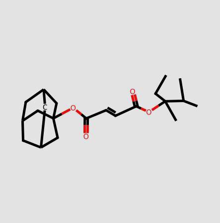 CCC(C)(OC(=O)C=CC(=O)OC12CC3CC(CC(C3)C1)C2)C(C)C